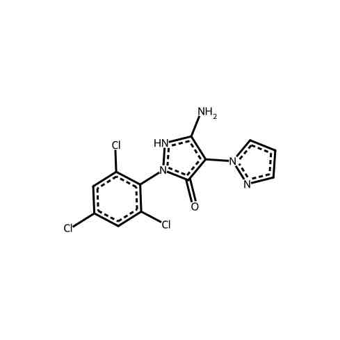 Nc1[nH]n(-c2c(Cl)cc(Cl)cc2Cl)c(=O)c1-n1cccn1